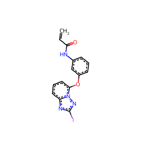 C=CC(=O)Nc1cccc(Oc2cccc3nc(I)nn23)c1